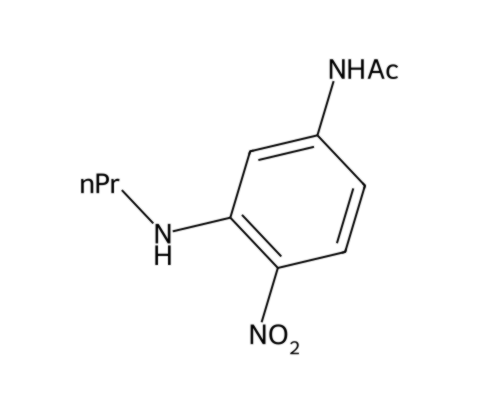 CCCNc1cc(NC(C)=O)ccc1[N+](=O)[O-]